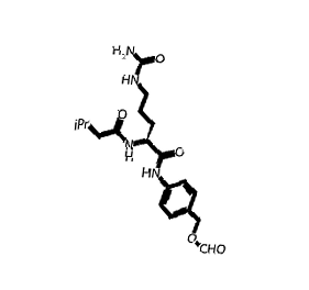 CC(C)CC(=O)N[C@@H](CCCNC(N)=O)C(=O)Nc1ccc(COC=O)cc1